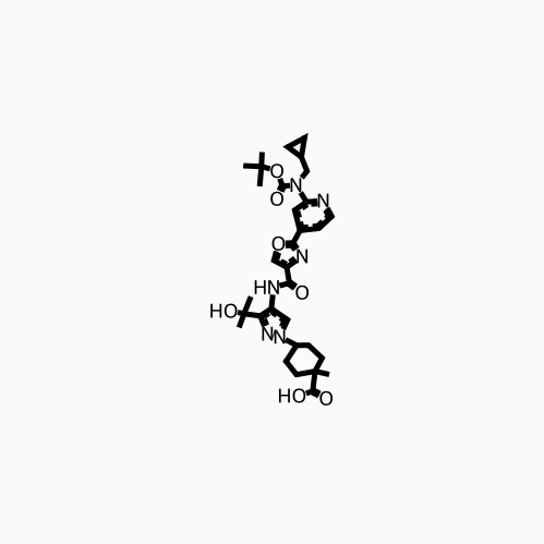 CC(C)(C)OC(=O)N(CC1CC1)c1cc(-c2nc(C(=O)Nc3cn(C4CCC(C)(C(=O)O)CC4)nc3C(C)(C)O)co2)ccn1